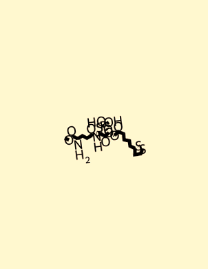 COC(=O)C(N)CCC(=O)N[C@@H](SP(=O)(O)O)C(=O)OOC(=O)CCCCC1CCSS1